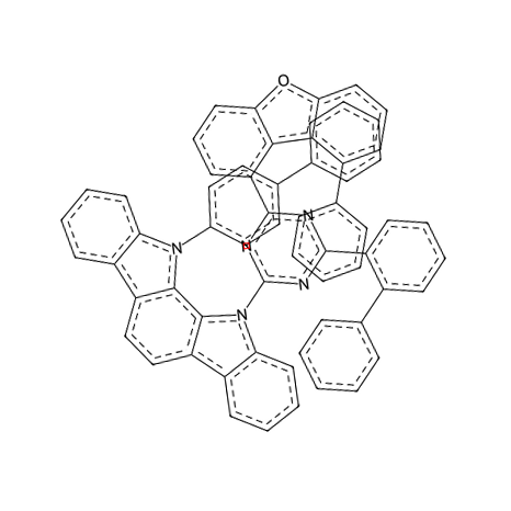 c1ccc(-c2ccc(-n3c4ccccc4c4ccc5c6ccccc6n(-c6nc(-c7ccccc7-c7ccccc7)nc(-c7cccc8oc9cccc(-c%10ccccc%10)c9c78)n6)c5c43)cc2)cc1